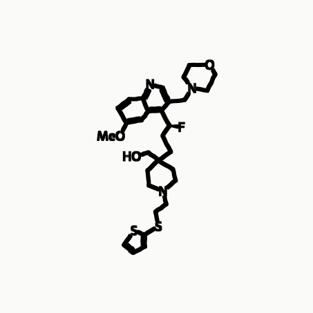 COc1ccc2ncc(CN3CCOCC3)c([C@@H](F)CCC3(CO)CCN(CCSc4cccs4)CC3)c2c1